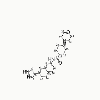 O=C(Nc1cc2cc(-c3cn[nH]c3)ccc2cn1)C1CCC(N2CCOCC2)CC1